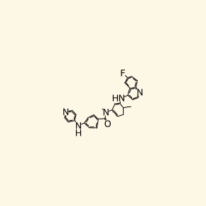 CC1CC=C(N(C)C(=O)c2ccc(Nc3ccncc3)cc2)C=C1Nc1ccnc2ccc(F)cc12